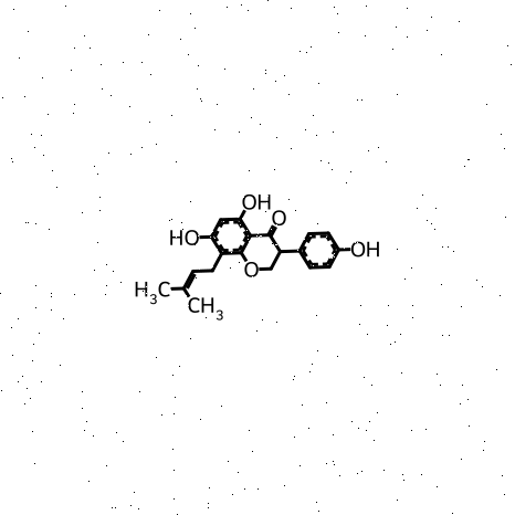 CC(C)=CCc1c(O)cc(O)c2c1OCC(c1ccc(O)cc1)C2=O